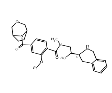 CCOc1cc(C(=O)N2C3CCC2COC3)ccc1C(=O)N(C)CC(O)[C@@H]1Cc2ccccc2CN1